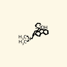 CCN(CC)CC#CCCC1(C2(O)c3ccccc3-c3ccccc32)SCCCS1